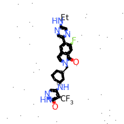 CCNc1cnc(-c2cc3ccn(C[C@@H]4CCC[C@H](Nc5cn[nH]c(=O)c5C(F)(F)F)C4)c(=O)c3cc2F)cn1